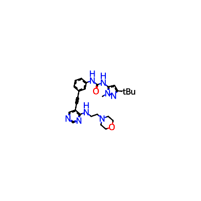 Cn1nc(C(C)(C)C)cc1NC(=O)Nc1cccc(C#Cc2cncnc2NCCN2CCOCC2)c1